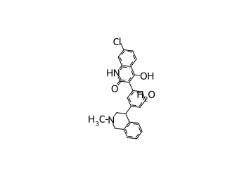 CN1Cc2ccccc2C(c2cccc(-c3c(O)c4ccc(Cl)cc4[nH]c3=O)c2)C1.O